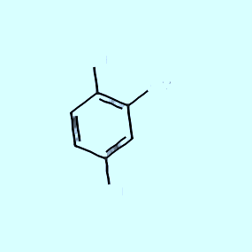 COc1cc([C]=O)ccc1O